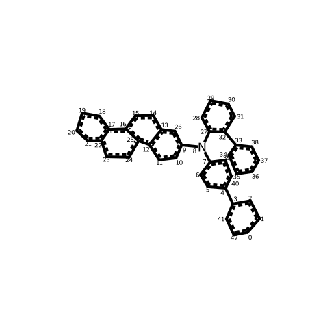 c1ccc(-c2ccc(N(c3ccc4c(ccc5c6ccccc6ccc45)c3)c3ccccc3-c3ccccc3)cc2)cc1